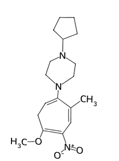 COC1=C([N+](=O)[O-])C=C(C)C(N2CCN(C3CCCC3)CC2)=CC1